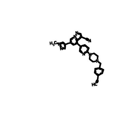 C#Cc1ccc(CN2CCN(c3ccc(-c4cc(-c5cnn(C)c5)cn5ncc(C#N)c45)cn3)CC2)cc1